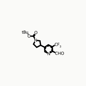 CC(C)(C)OC(=O)N1CCC(c2cnc(C=O)c(C(F)(F)F)c2)C1